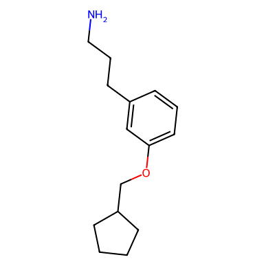 NCCCc1cccc(OCC2CCCC2)c1